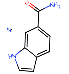 NC(=O)c1ccc2cc[nH]c2c1.[N]